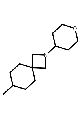 CC1CCC2(CC1)CN(C1CCOCC1)C2